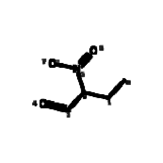 CCC([C]=O)[N+](=O)[O-]